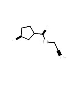 C#CCNC(=O)C1CCC(=O)C1